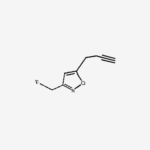 C#CCc1cc(CF)no1